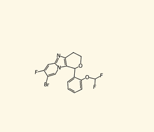 Fc1cc2nc3c(n2cc1Br)C(c1ccccc1OC(F)F)OCC3